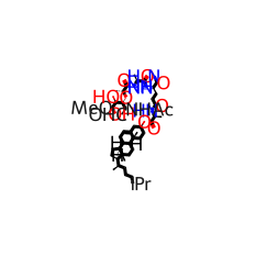 CO[C@@H](O)[C@@H](O)[C@H](O[C@H](C)C(=O)N[C@@H](C)C(=O)N[C@H](CCC(=O)N[C@@H](C)C(=O)O[C@H]1CC[C@@]2(C)C(=CC[C@H]3[C@@H]4CC[C@H]([C@H](C)CCCC(C)C)[C@@]4(C)CC[C@@H]32)C1)C(N)=O)[C@H](C=O)NC(C)=O